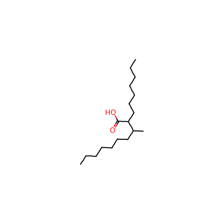 CCCCCCCC(C)C(CCCCCCC)C(=O)O